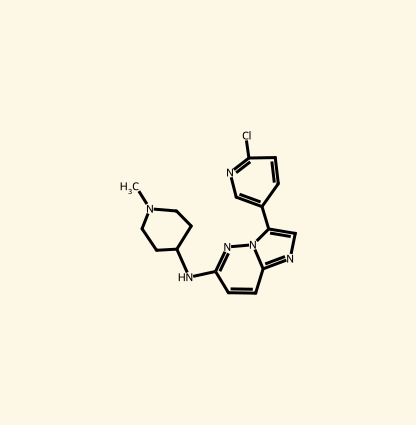 CN1CCC(Nc2ccc3ncc(-c4ccc(Cl)nc4)n3n2)CC1